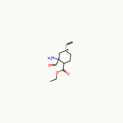 C=C[C@@H]1CCC(C(=O)OCC)C(N)(C=O)C1